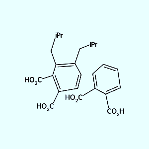 CC(C)Cc1ccc(C(=O)O)c(C(=O)O)c1CC(C)C.O=C(O)c1ccccc1C(=O)O